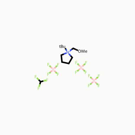 COC[N+]1(C(C)(C)C)CCCC1.FC(F)F.F[B-](F)(F)F.F[B-](F)(F)F.F[B-](F)(F)F